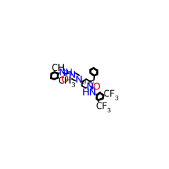 Cc1cccc(C)c1NC(=O)CN1CCN([C@H]2CCN(C(=O)Nc3cc(C(F)(F)F)cc(C(F)(F)F)c3)[C@H](Cc3ccccc3)C2)CC1